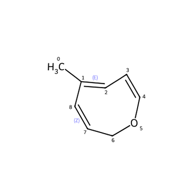 CC1=C\C=COC/C=C\1